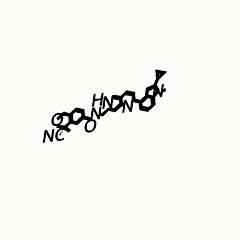 Cn1c(C2CC2)cc2c(-c3ccc4cnc(CNC(=O)c5ccc6c(c5)[C@](C)(C#N)COC6)cc4n3)cccc21